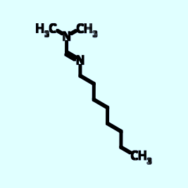 CCCCCCCCN=CN(C)C